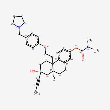 CC#C[C@@]1(O)CC[C@]2(CCOc3ccc(CN4CCCC4)cc3)c3ccc(OC(=O)N(C)C)cc3CC[C@H]2C1